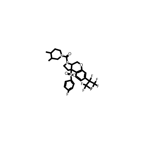 CC1CCN(C(=O)N2CCC3(S(=O)(=O)c4ccc(F)cc4)c4ccc(C(F)(C(F)(F)F)C(F)(F)F)cc4OCC23)CC1C